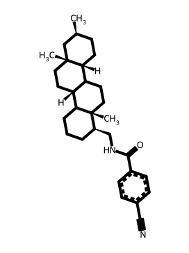 C[C@H]1CC[C@@H]2C3CC[C@@]4(C)C(CCC[C@@H]4CNC(=O)c4ccc(C#N)cc4)[C@@H]3CC[C@]2(C)C1